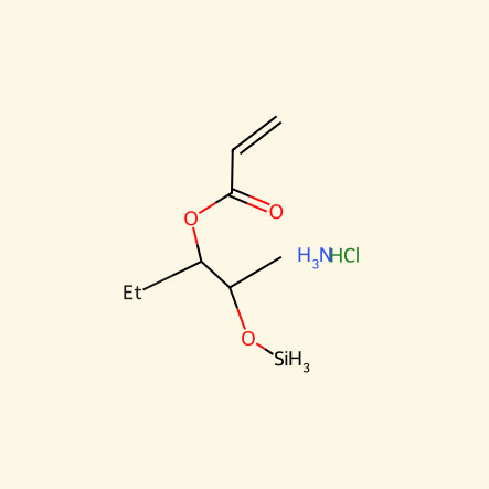 C=CC(=O)OC(CC)C(C)O[SiH3].Cl.N